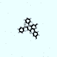 Cc1ccc(-c2nc(C)cc3c2c(=O)cc(Nc2ccccc2)n3-c2ccccc2)cc1